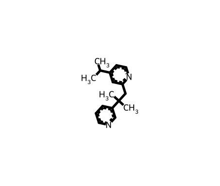 CC(C)c1ccnc(CC(C)(C)c2cccnc2)c1